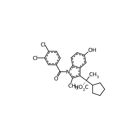 Cc1c([C@](C)(C(=O)O)C2CCCC2)c2cc(O)ccc2n1C(=O)c1ccc(Cl)c(Cl)c1